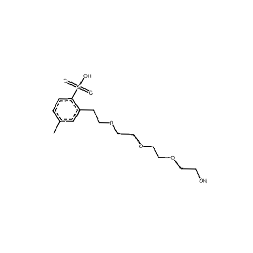 Cc1ccc(S(=O)(=O)O)c(CCOCCOCCOCCO)c1